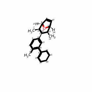 Cc1ccc([C@H]2[C@@H](C)[C@H]3C=C[C@H](O3)[C@H]2C)cc1C1=CCCCC1